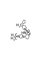 CC(C)N1CCN(C2CCCC(F)(F)C2NC(=O)N2CCC(C)(C3CCCC3)CC2)CC1